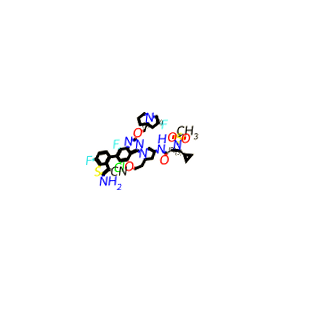 CS(=O)(=O)N1[C@@H](C(=O)NC2CC3CCOc4c(Cl)c(-c5ccc(F)c6sc(N)c(C#N)c56)c(F)c5nc(OC[C@@]67CCCN6C[C@H](F)C7)nc(c45)N3C2)[C@@H]1C1CC1